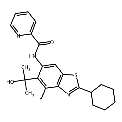 CC(C)(O)c1c(NC(=O)c2ccccn2)cc2sc(C3CCCCC3)nc2c1F